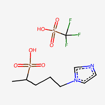 CC(CCCn1ccnc1)S(=O)(=O)O.O=S(=O)(O)C(F)(F)F